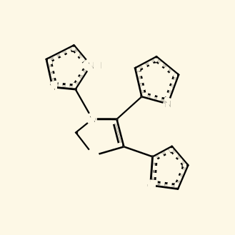 [CH]1OC(c2ccco2)=C(c2ccc[nH]2)N1c1ncc[nH]1